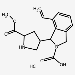 C=Cc1cccc2c1C(C1CNC(C(=O)OC)C1)N(C(=O)O)C2.Cl